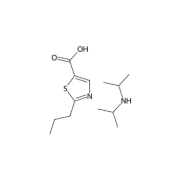 CC(C)NC(C)C.CCCc1ncc(C(=O)O)s1